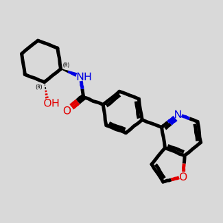 O=C(N[C@@H]1CCCC[C@H]1O)c1ccc(-c2nccc3occc23)cc1